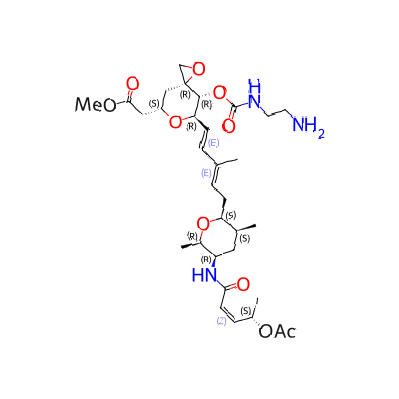 COC(=O)C[C@@H]1C[C@@]2(CO2)[C@H](OC(=O)NCCN)[C@@H](/C=C/C(C)=C/C[C@@H]2O[C@H](C)[C@H](NC(=O)/C=C\[C@H](C)OC(C)=O)C[C@@H]2C)O1